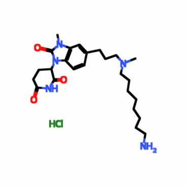 CN(CCCCCCCCN)CCCc1ccc2c(c1)n(C)c(=O)n2C1CCC(=O)NC1=O.Cl